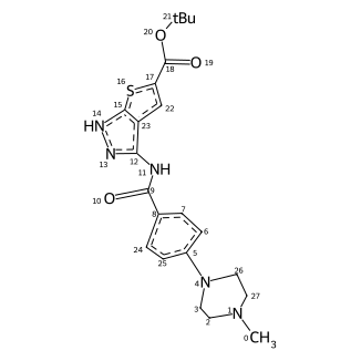 CN1CCN(c2ccc(C(=O)Nc3n[nH]c4sc(C(=O)OC(C)(C)C)cc34)cc2)CC1